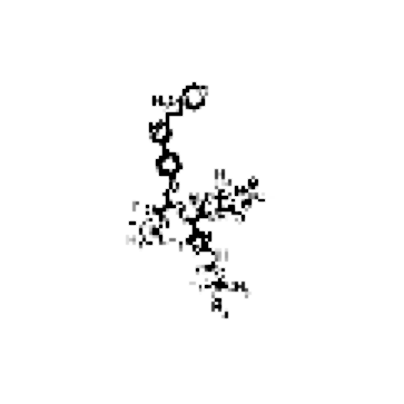 CC(C)(C)OC(=O)Nc1nc(C(=NOC(COc2ccc(-c3cnn(CC[N+]4(C)CCOCC4)c3)cc2)C(=O)OC(C)(C)C)C(=O)NC2C(=O)N(OS(=O)(=O)O)C2(C)C)cs1.[I-]